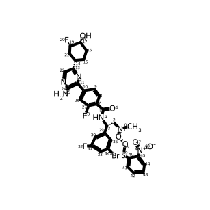 CN(C[C@@H](NC(=O)c1ccc(-c2nc([C@H]3CC[C@H](O)[C@@H](F)C3)cnc2N)cc1F)c1cc(F)cc(Br)c1)OOSc1ccccc1[N+](=O)[O-]